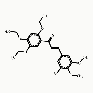 CCOc1cc(OCC)c(C(=O)C=Cc2cc(Br)c(OC)c(OC)c2)cc1OCC